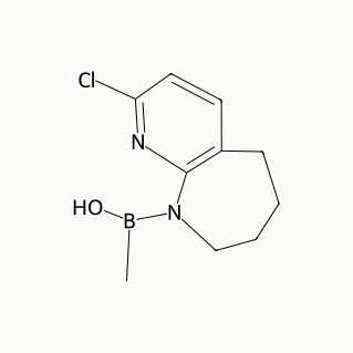 CB(O)N1CCCCc2ccc(Cl)nc21